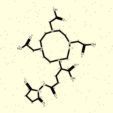 O=C(O)CN1CCN(CC(=O)O)CCN(C(CCC(=O)ON2C(=O)CCC2=O)C(=O)O)CCN(CC(=O)O)CC1